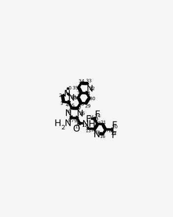 Cn1ccc(-c2nc(N)c(C(=O)NCc3ncc(C(F)F)cc3C(F)F)nc2-c2ccc3ncccc3c2)n1